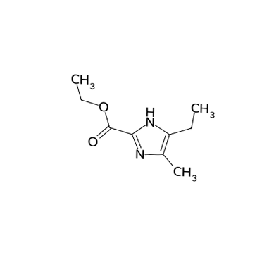 CCOC(=O)c1nc(C)c(CC)[nH]1